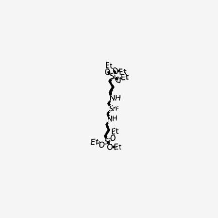 CCO[Si](CCCN[CH2][Sn][CH2]NCCC[Si](OCC)(OCC)OCC)(OCC)OCC